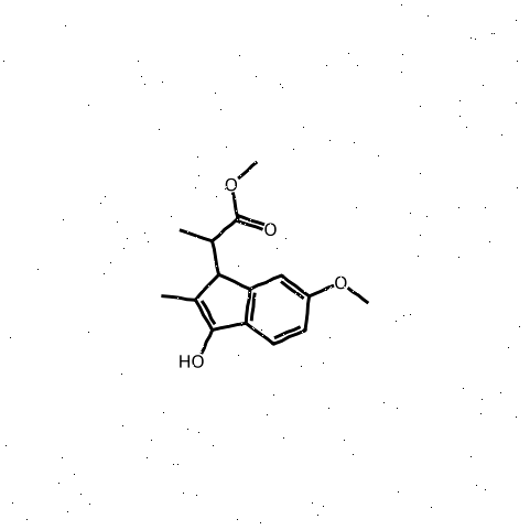 COC(=O)C(C)C1C(C)=C(O)c2ccc(OC)cc21